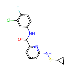 O=C(Nc1ccc(F)c(Cl)c1)c1cccc(NSC2CC2)n1